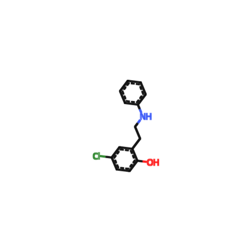 Oc1ccc(Cl)cc1CCNc1ccccc1